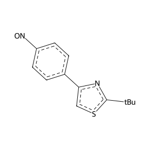 CC(C)(C)c1nc(-c2ccc(N=O)cc2)cs1